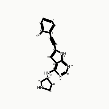 Fc1ccccc1C#Cc1cc2c(N[C@@H]3CCNC3)ncnc2[nH]1